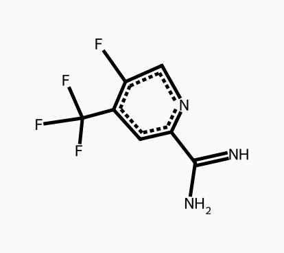 N=C(N)c1cc(C(F)(F)F)c(F)cn1